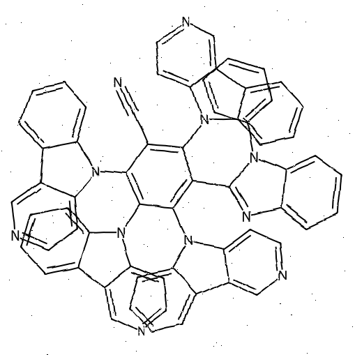 N#Cc1c(-n2c3ccccc3c3cnccc32)c(-c2nc3ccccc3n2-c2ccccc2)c(-n2c3ccccc3c3cnccc32)c(-n2c3ccccc3c3cnccc32)c1-n1c2ccccc2c2cnccc21